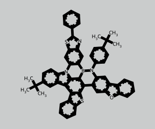 CC(C)(C)c1ccc(N2B3c4cc5nc(-c6ccccc6)sc5cc4-n4c5ccc(C(C)(C)C)cc5c5c6c(sc7ccccc76)c(c3c54)-c3cc4oc5ccccc5c4cc32)cc1